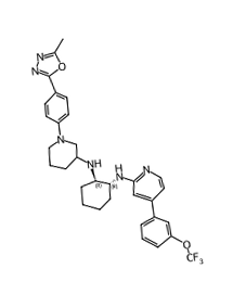 Cc1nnc(-c2ccc(N3CCCC(N[C@@H]4CCCC[C@H]4Nc4cc(-c5cccc(OC(F)(F)F)c5)ccn4)C3)cc2)o1